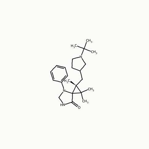 CC(C)(C)N1CCC(C[C@]2(C)C(C)(C)C23C(=O)NCN3c2ccccc2)C1